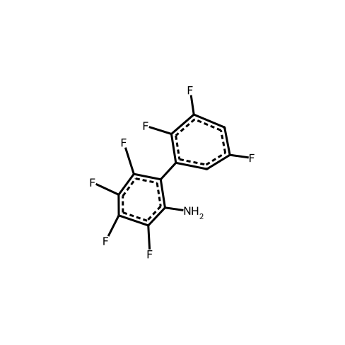 Nc1c(F)c(F)c(F)c(F)c1-c1cc(F)cc(F)c1F